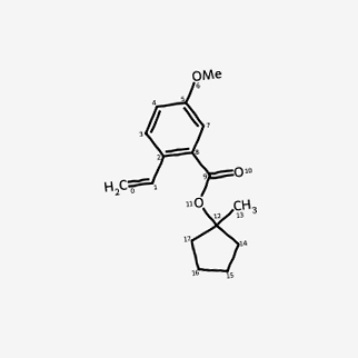 C=Cc1ccc(OC)cc1C(=O)OC1(C)CCCC1